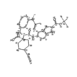 CC(=O)N(C)c1cccc(C[C@H](C(=O)Nc2ccc3[nH]c(C(=O)OC(C)(C)C)cc3c2)C2(C(N)=O)CCC(C#N)CC2)c1